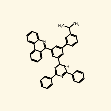 CC(C)c1cccc(-c2cc(-c3nc4ccccc4c4ccccc34)cc(C3N=C(c4ccccc4)N=C(c4ccccc4)N3)c2)c1